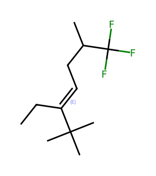 CC/C(=C\CC(C)C(F)(F)F)C(C)(C)C